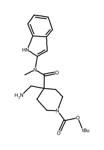 CN(C(=O)C1(CN)CCN(C(=O)OC(C)(C)C)CC1)c1cc2ccccc2[nH]1